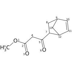 COC(=O)CC(=O)C1CC2C=CC1C2